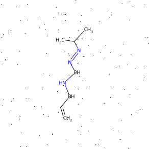 C=CBNB/N=N/C(C)C